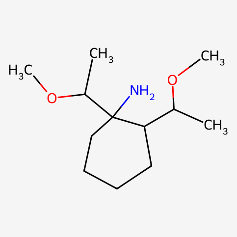 COC(C)C1CCCCC1(N)C(C)OC